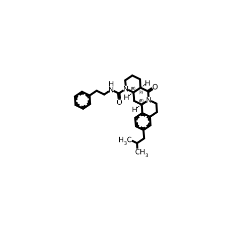 CC(C)Cc1ccc2c(c1)CCN1C(=O)[C@@H]3CCCN(C(=O)NCCc4ccccc4)[C@@H]3C[C@H]21